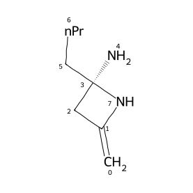 C=C1C[C@@](N)(CCCC)N1